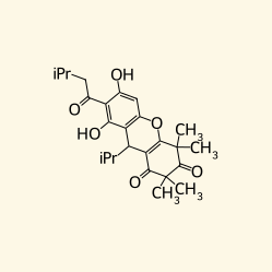 CC(C)CC(=O)c1c(O)cc2c(c1O)C(C(C)C)C1=C(O2)C(C)(C)C(=O)C(C)(C)C1=O